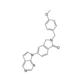 COc1ccc(CN2Cc3cc(-n4ccc5cncnc54)ccc3C2=O)cc1